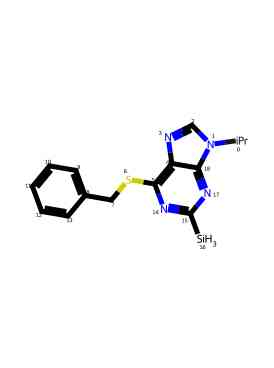 CC(C)n1cnc2c(SCc3ccccc3)nc([SiH3])nc21